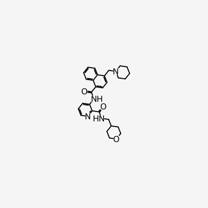 O=C(NCC1CCOCC1)c1ncccc1NC(=O)c1ccc(CN2CCCCC2)c2ccccc12